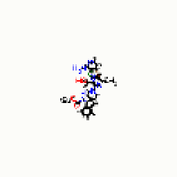 Cc1nc(N2CCC3(CC2)Cc2ccccc2[C@H]3NC(=O)OC(C)(C)C)c(CO)nc1Sc1ccnc(N)c1Cl